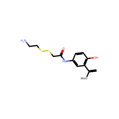 C=C(OC)c1cc(NC(=O)CSSCCN)ccc1O